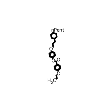 C=CCOc1ccc(C(=O)Oc2ccc(OCCCC3CCC(CCCCC)CC3)cc2)cc1